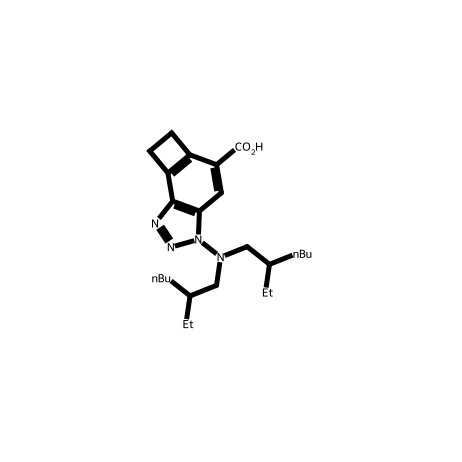 CCCCC(CC)CN(CC(CC)CCCC)n1nnc2c3c(c(C(=O)O)cc21)CC3